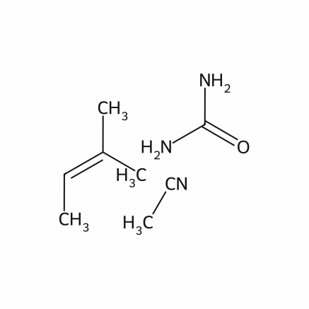 CC#N.CC=C(C)C.NC(N)=O